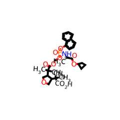 C[C@H](NP(=O)(OCOC(=O)C(C)(C)C1COCC1C(C)(C)C(=O)O)Oc1cccc2ccccc12)C(=O)OC1CCC1